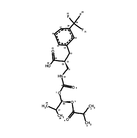 CC(C)C(=O)O[C@H](OC(=O)NC[C@H](Cc1cccc(C(F)(F)F)c1)C(=O)O)C(C)C